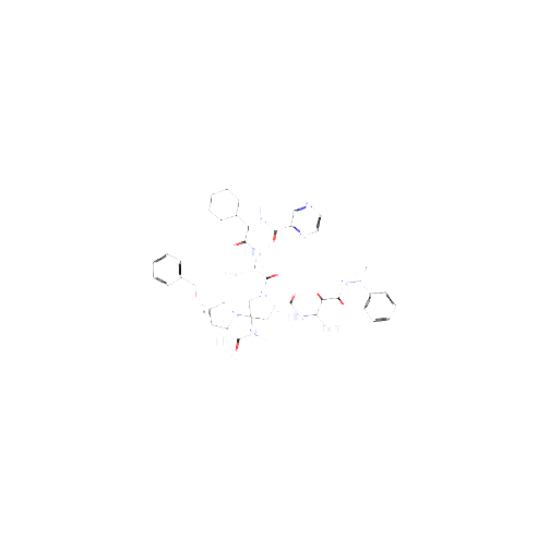 CCCC(NC(=O)[C@@H]1CC2(CN1C(=O)[C@@H](NC(=O)[C@@H](NC(=O)c1cnccn1)C1CCCCC1)C(C)(C)C)N(C)C(=O)[C@H]1C[C@@H](OCc3ccccc3)CN12)C(=O)C(=O)N[C@@H](C)c1ccccc1